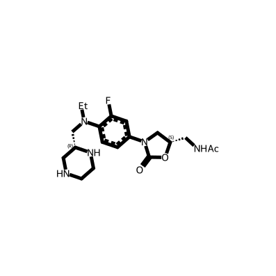 CCN(C[C@H]1CNCCN1)c1ccc(N2C[C@H](CNC(C)=O)OC2=O)cc1F